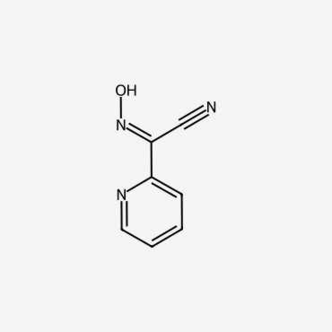 N#CC(=NO)c1ccccn1